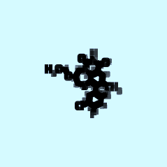 CCO[C@@H]1CSc2c(-c3cc(Cl)c(F)cc3F)c(C)cc3c(=O)[nH]c(=O)n(c23)C1